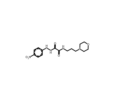 O=C(NCCCN1CCOCC1)C(=O)NNc1ccc([N+](=O)[O-])cc1